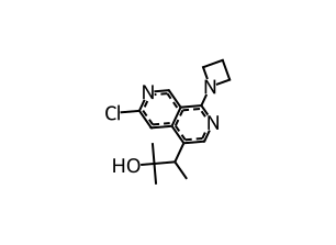 CC(c1cnc(N2CCC2)c2cnc(Cl)cc12)C(C)(C)O